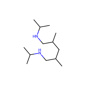 CC(CNC(C)C)CC(C)CNC(C)C